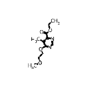 CCOC(=O)c1ncnc(OCCOC)c1C